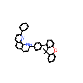 CC1(C)c2ccccc2Oc2cccc(-c3ccc(C4C=Cc5ccc6ccc(-c7ccccc7)nc6c5N4)cc3)c21